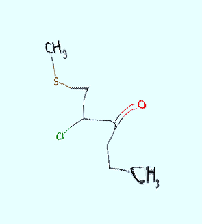 CCC(=O)C(Cl)CSC